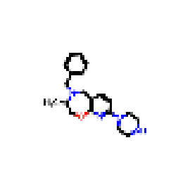 CC1COc2nc(N3CCNCC3)ccc2CN1Cc1ccccc1